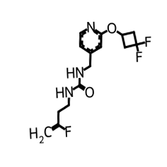 C=C(F)CCNC(=O)NCc1ccnc(OC2CC(F)(F)C2)c1